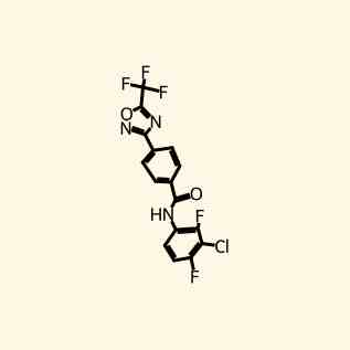 O=C(Nc1ccc(F)c(Cl)c1F)c1ccc(-c2noc(C(F)(F)F)n2)cc1